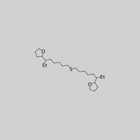 CCC(CCCCCSCCCCCC(CC)C1CCCO1)C1CCCO1